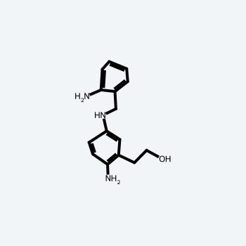 Nc1ccc(NCc2ccccc2N)cc1CCO